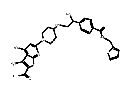 CCCc1cc(N2CCC(NCC(O)c3ccc(C(=O)NCc4ccco4)cc3)CC2)nc2sc(C(N)=O)c(N)c12